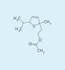 CC(=O)OCCC1(C)C=CC(C(C)C)S1